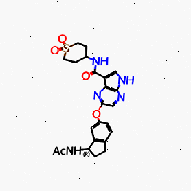 CC(=O)N[C@@H]1CCc2ccc(Oc3cnc4[nH]cc(C(=O)NC5CCS(=O)(=O)CC5)c4n3)cc21